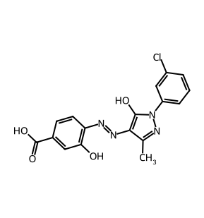 Cc1nn(-c2cccc(Cl)c2)c(O)c1N=Nc1ccc(C(=O)O)cc1O